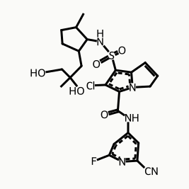 CC1CCC(CC(C)(O)CO)C1NS(=O)(=O)c1c(Cl)c(C(=O)Nc2cc(F)nc(C#N)c2)n2c1C=CC2